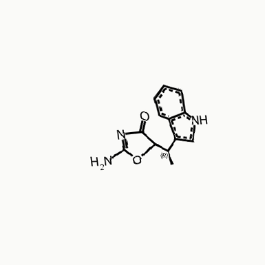 C[C@H](c1c[nH]c2ccccc12)C1OC(N)=NC1=O